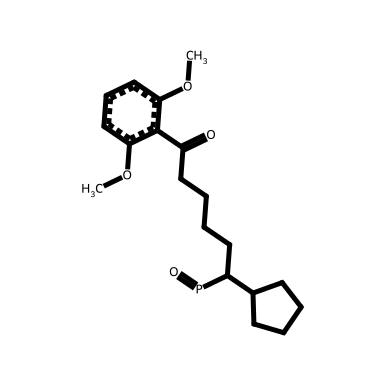 COc1cccc(OC)c1C(=O)CCCCC(P=O)C1CCCC1